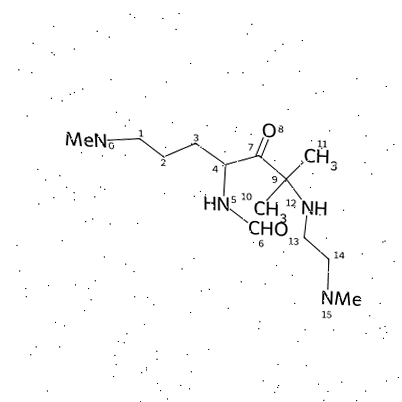 CNCCCC(NC=O)C(=O)C(C)(C)NCCNC